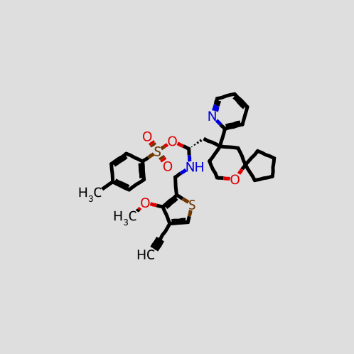 C#Cc1csc(CN[C@@H](CC2(c3ccccn3)CCOC3(CCCC3)C2)OS(=O)(=O)c2ccc(C)cc2)c1OC